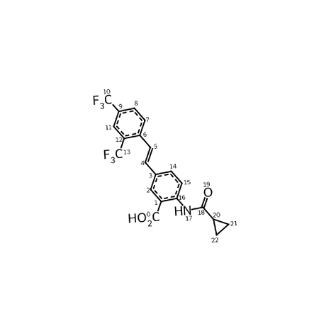 O=C(O)c1cc(C=Cc2ccc(C(F)(F)F)cc2C(F)(F)F)ccc1NC(=O)C1CC1